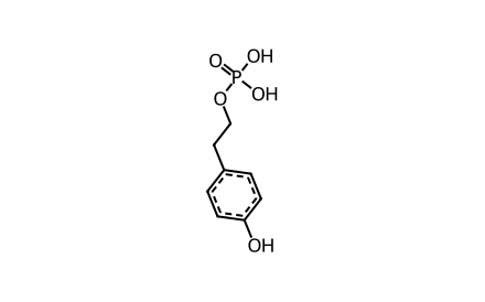 O=P(O)(O)OCCc1ccc(O)cc1